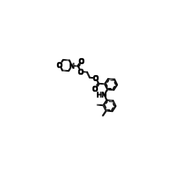 Cc1cccc(Nc2ccccc2C(=O)OCCOC(=O)N2CCOCC2)c1C